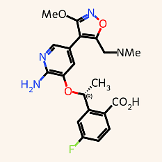 CNCc1onc(OC)c1-c1cnc(N)c(O[C@H](C)c2cc(F)ccc2C(=O)O)c1